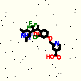 C=C/C=C(\C=C(\C)N)C(O)(C(C)c1ccc(OCc2cc(C(=O)O)ccn2)cc1Cl)C(F)(F)F